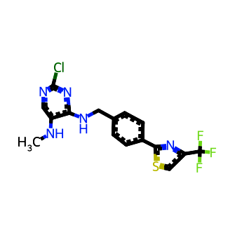 CNc1cnc(Cl)nc1NCc1ccc(-c2nc(C(F)(F)F)cs2)cc1